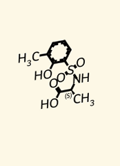 Cc1cccc(S(=O)(=O)N[C@@H](C)C(=O)O)c1O